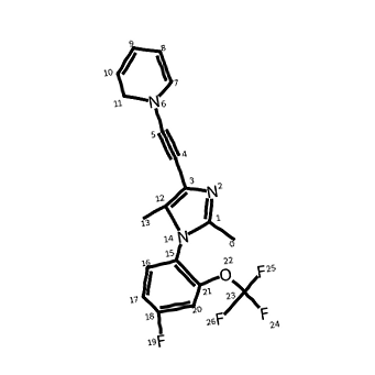 Cc1nc(C#CN2C=CC=CC2)c(C)n1-c1ccc(F)cc1OC(F)(F)F